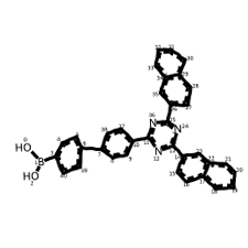 OB(O)c1ccc(-c2ccc(-c3nc(-c4ccc5ccccc5c4)nc(-c4ccc5ccccc5c4)n3)cc2)cc1